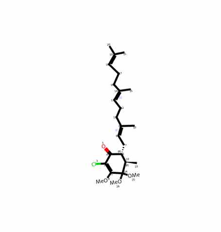 COC1=C(Cl)C(=O)[C@H](C/C=C(\C)CC/C=C(\C)CCC=C(C)C)[C@@H](C)C1(OC)OC